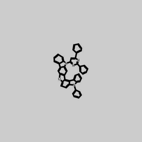 c1ccc(-c2cc(-n3c4ccccc4c4cc5oc6ccc7c(c8ccccc8n7-c7ccccc7)c6c5cc43)nc(-c3ccccc3)n2)cc1